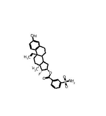 C=C[C@]12CC[C@@]3(C)C(C[C@@H](OC(=O)c4cccc(S(N)(=O)=O)c4)[C@@H]3F)C1CCc1cc(O)ccc12